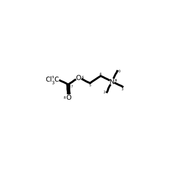 C[N+](C)(C)CCOC(=O)C(Cl)(Cl)Cl